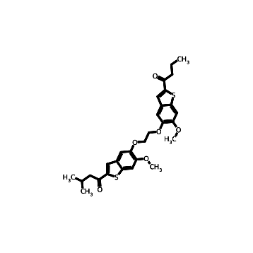 CCCC(=O)c1cc2cc(OCCOc3cc4cc(C(=O)CC(C)C)sc4cc3OC)c(OC)cc2s1